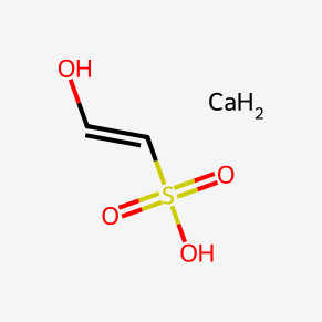 O=S(=O)(O)C=CO.[CaH2]